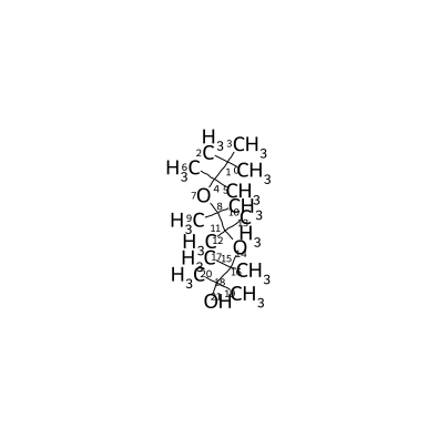 CC(C)(C)C(C)(C)OC(C)(C)C(C)(C)OC(C)(C)C(C)(C)O